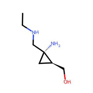 CCNC[C@]1(N)C[C@@H]1CO